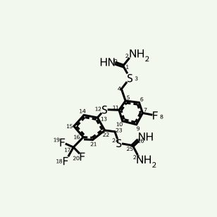 N=C(N)SCc1cc(F)ccc1Sc1ccc(C(F)(F)F)cc1CSC(=N)N